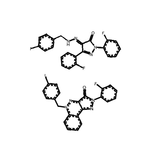 O=C1/C(=N/NCc2ccc(I)cc2)C(c2ccccc2F)=NN1c1ccccc1F.O=c1c2nn(Cc3ccc(I)cc3)c3ccccc3c-2nn1-c1ccccc1F